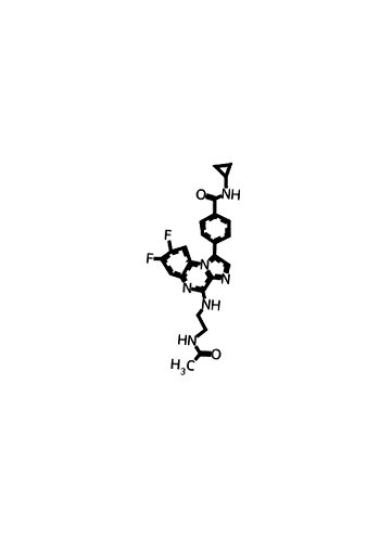 CC(=O)NCCNc1nc2cc(F)c(F)cc2n2c(-c3ccc(C(=O)NC4CC4)cc3)cnc12